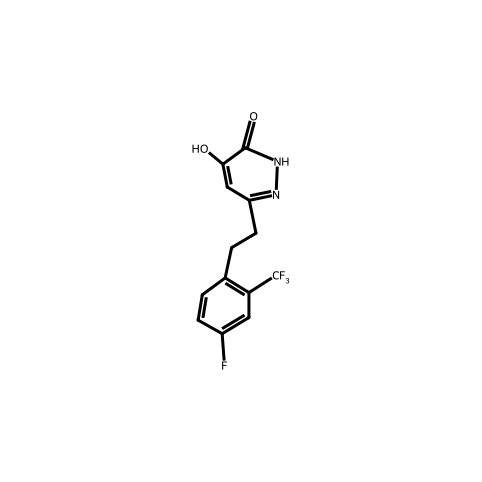 O=c1[nH]nc(CCc2ccc(F)cc2C(F)(F)F)cc1O